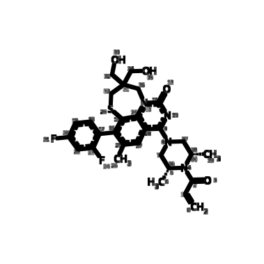 C=CC(=O)N1[C@H](C)CN(c2nc(=O)n3c4c(c(-c5ccc(F)cc5F)c(C)cc24)SCC(CO)(CO)C3)C[C@@H]1C